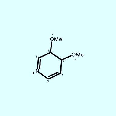 COC1C=CN=CC1OC